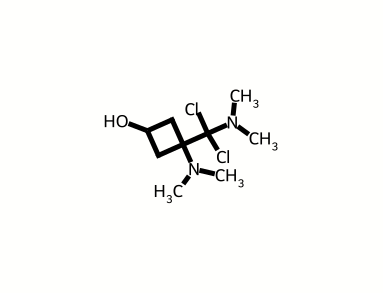 CN(C)C(Cl)(Cl)C1(N(C)C)CC(O)C1